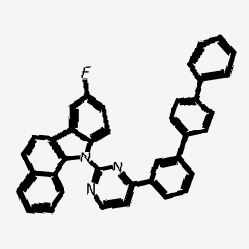 Fc1ccc2c(c1)c1ccc3ccccc3c1n2-c1nccc(-c2cccc(-c3ccc(-c4ccccc4)cc3)c2)n1